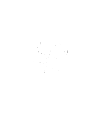 CCC(CC)(CN)S(=O)(=O)O